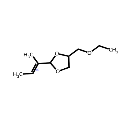 C/C=C(\C)C1OCC(COCC)O1